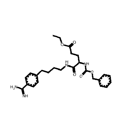 CCOC(=O)CCC(NC(=O)OCc1ccccc1)C(=O)NCCCCc1ccc(C(=N)N)cc1